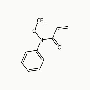 C=CC(=O)N(OC(F)(F)F)c1ccccc1